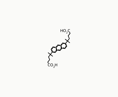 CC(C)(CCCC(=O)O)c1ccc2cc3cc(C(C)(C)CCCC(=O)O)ccc3cc2c1